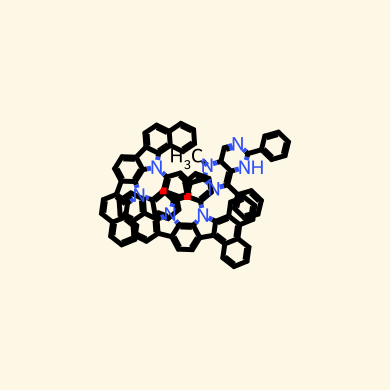 CN1C(c2cc(-n3c4c5ccccc5ccc4c4ccc5c6ccc7ccccc7c6n(-c6ccccc6)c5c43)cc(-n3c4c5ccccc5ccc4c4ccc5c6c7ccccc7c7ccccc7c6n(-c6ccccc6)c5c43)c2)=NC(c2ccccc2)=C2NC(c3ccccc3)N=CC21